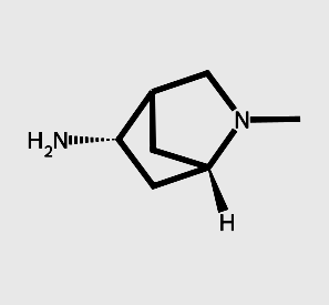 CN1CC2C[C@H]1C[C@@H]2N